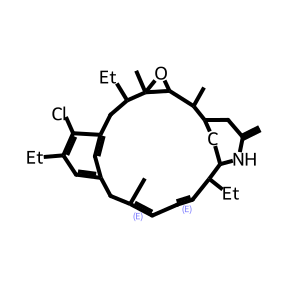 C=C1CC2CC(N1)C(CC)/C=C/C=C(\C)Cc1cc(CC)c(Cl)c(c1)CC(CC)C1(C)OC1C2C